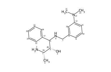 C[C@H](N)[C@@H](O)C(NCc1cccc(N(C)C)c1)c1ccccc1